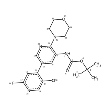 CC(C)(C)OC(=O)Nc1cc(-c2cc(F)ncc2Cl)cnc1N1CCOCC1